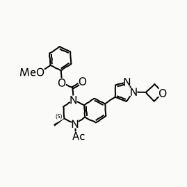 COc1ccccc1OC(=O)N1C[C@H](C)N(C(C)=O)c2ccc(-c3cnn(C4COC4)c3)cc21